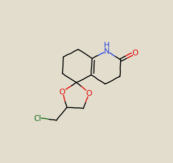 O=C1CCC2=C(CCCC23OCC(CCl)O3)N1